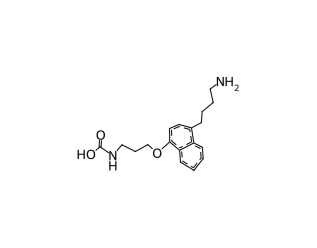 NCCCCc1ccc(OCCCNC(=O)O)c2ccccc12